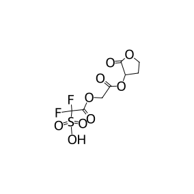 O=C(COC(=O)C(F)(F)S(=O)(=O)O)OC1CCOC1=O